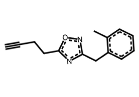 C#CCCc1nc(Cc2ccccc2C)no1